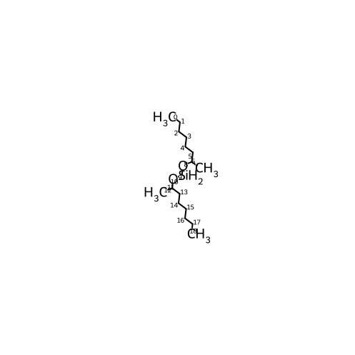 CCCCCCC(C)O[SiH2]OC(C)CCCCCC